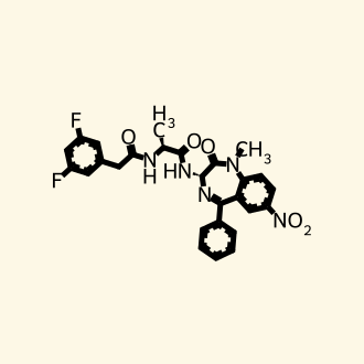 C[C@H](NC(=O)Cc1cc(F)cc(F)c1)C(=O)N[C@H]1N=C(c2ccccc2)c2cc([N+](=O)[O-])ccc2N(C)C1=O